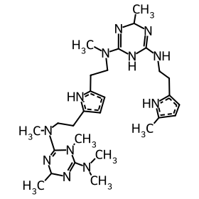 Cc1ccc(CCNC2=NC(C)N=C(N(C)CCc3ccc(CCN(C)C4=NC(C)N=C(N(C)C)N4C)[nH]3)N2)[nH]1